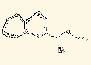 COC(O)c1ccc2ccccc2c1